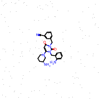 N#Cc1cccc(Cn2c(=O)cc(N3CCC[C@@H](N)C3)n(Cc3ccccc3N)c2=O)c1